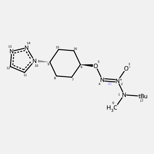 CN(/[N+]([O-])=N/O[C@H]1CC[C@H](n2ccnn2)CC1)C(C)(C)C